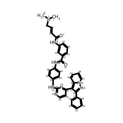 CN(C)C/C=C/C(=O)Nc1cccc(C(=O)Nc2ccc(Nc3nccc(-c4c(-c5ccccc5)nn5ccccc45)n3)cc2)c1